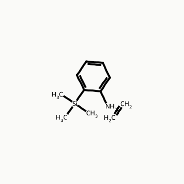 C=C.C[Si](C)(C)c1ccccc1N